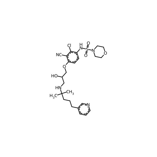 CC(C)(CCCc1cccnc1)NCC(O)COc1ccc(NS(=O)(=O)N2CCOCC2)c(Cl)c1C#N